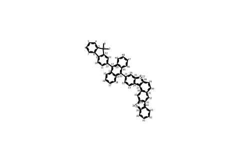 CC1(C)c2ccccc2-c2ccc(-c3c4ccccc4c(-c4ccc5c(c4)sc4ccc6cc7c(cc6c45)sc4ccccc47)c4ccccc34)cc21